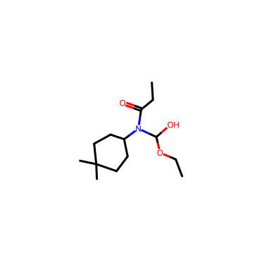 CCOC(O)N(C(=O)CC)C1CCC(C)(C)CC1